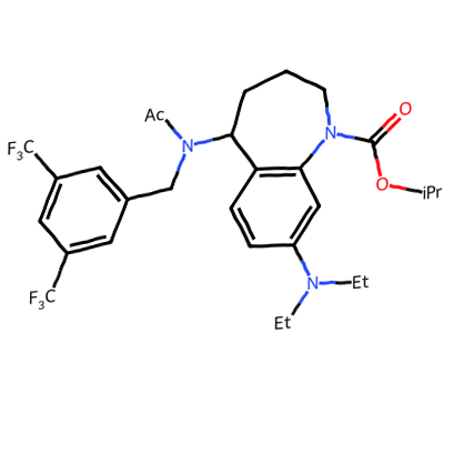 CCN(CC)c1ccc2c(c1)N(C(=O)OC(C)C)CCCC2N(Cc1cc(C(F)(F)F)cc(C(F)(F)F)c1)C(C)=O